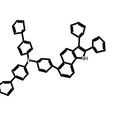 c1ccc(-c2ccc(N(c3ccc(-c4ccccc4)cc3)c3ccc(-c4cccc5c4ccc4c(-c6ccccc6)c(-c6ccccc6)[nH]c45)cc3)cc2)cc1